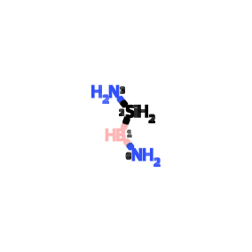 NB[SiH2]N